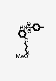 CON=CCCOc1cccc(NS(=O)(=O)c2ccc(C)cc2)c1